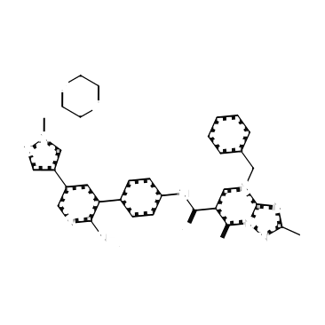 Cc1nc2n(Cc3ccccc3)cc(C(=O)Nc3ccc(-c4cc(-c5cnn(C[C@H]6COCCO6)c5)cnc4N)cc3)c(=O)n2n1